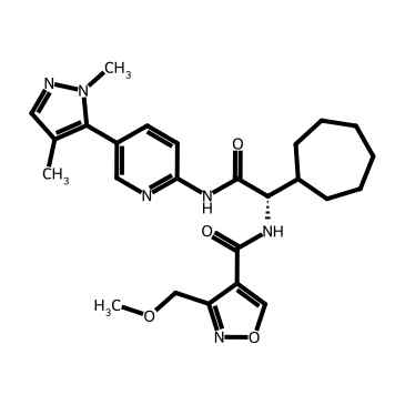 COCc1nocc1C(=O)N[C@H](C(=O)Nc1ccc(-c2c(C)cnn2C)cn1)C1CCCCCC1